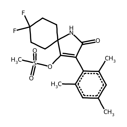 Cc1cc(C)c(C2=C(OS(C)(=O)=O)C3(CCC(F)(F)CC3)NC2=O)c(C)c1